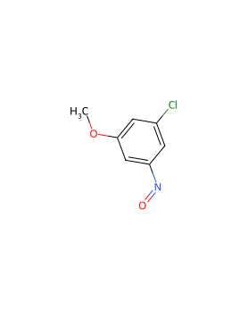 COc1cc(Cl)cc(N=O)c1